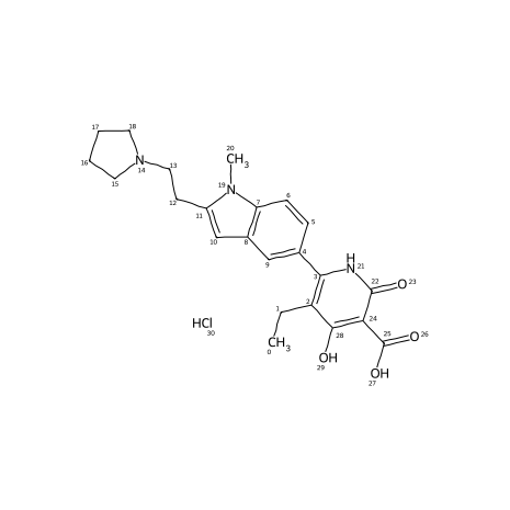 CCc1c(-c2ccc3c(c2)cc(CCN2CCCC2)n3C)[nH]c(=O)c(C(=O)O)c1O.Cl